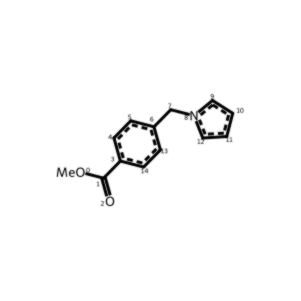 COC(=O)c1ccc(Cn2cccc2)cc1